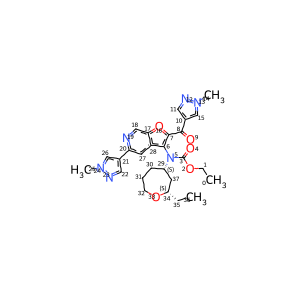 CCOC(=O)N(c1c(C(=O)c2cnn(C)c2)oc2cnc(-c3cnn(C)c3)cc12)[C@H]1CCCO[C@@H](CC)C1